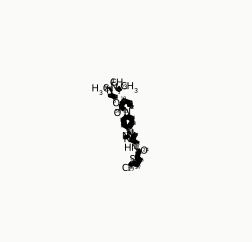 CCN(C)N(C)CCOc1cccn(-c2ccc(-n3cc(CNC(=O)c4ccc(Cl)s4)nn3)cc2)c1=O